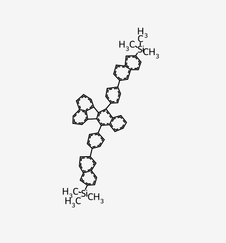 C[Si](C)(C)c1ccc2cc(-c3ccc(-c4c5c(c(-c6ccc(-c7ccc8cc([Si](C)(C)C)ccc8c7)cc6)c6ccccc46)-c4cccc6cccc-5c46)cc3)ccc2c1